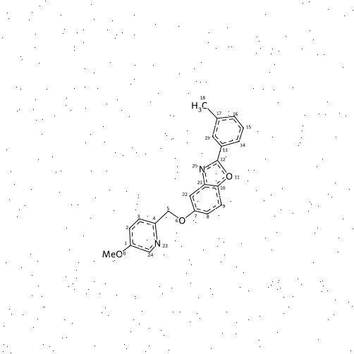 COc1ccc(COc2ccc3oc(-c4cccc(C)c4)nc3c2)nc1